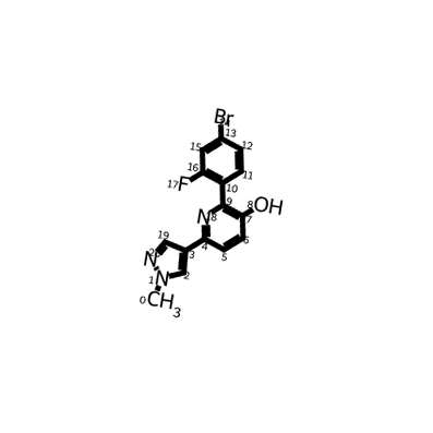 Cn1cc(-c2ccc(O)c(-c3ccc(Br)cc3F)n2)cn1